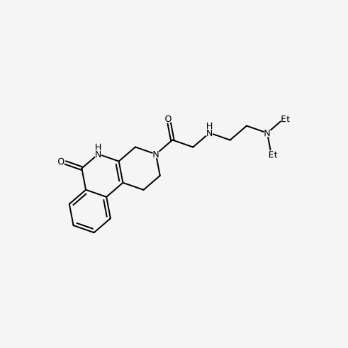 CCN(CC)CCNCC(=O)N1CCc2c([nH]c(=O)c3ccccc23)C1